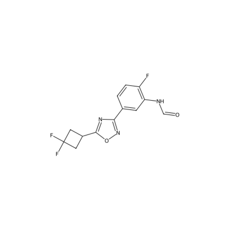 O=CNc1cc(-c2noc(C3CC(F)(F)C3)n2)ccc1F